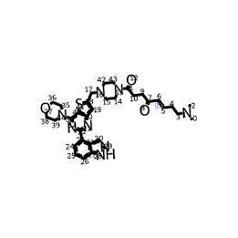 CN(C)CC/C=C/C(=O)CCC(=O)N1CCN(Cc2cc3nc(-c4cccc5[nH]ncc45)nc(N4CCOCC4)c3s2)CC1